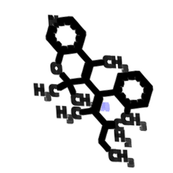 C=C(CC)/C(C)=C(/C1=C(C)c2ccncc2OC1(C)C)c1ccccc1C